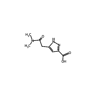 CN(C)C(=O)Cc1cc(C(=O)O)n[nH]1